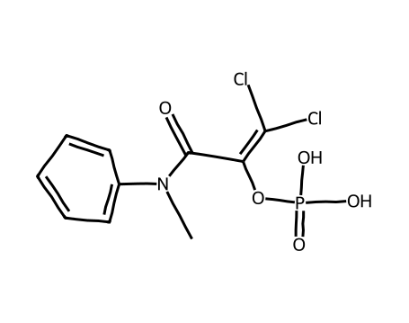 CN(C(=O)C(OP(=O)(O)O)=C(Cl)Cl)c1ccccc1